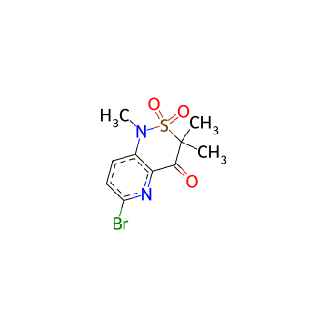 CN1c2ccc(Br)nc2C(=O)C(C)(C)S1(=O)=O